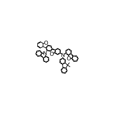 CC1(C)c2ccccc2-c2ccc(N(c3ccc4c(c3)oc3c(-n5c6ccccc6c6ccccc65)c5c(cc34)OC3C=CC=CC53)c3cccc4c3oc3ccccc34)cc21